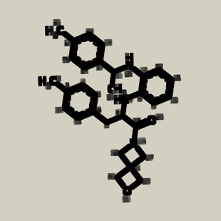 Cc1ccc(CC(Nc2ccccc2NC(C)c2ccc(C)cc2)C(=O)N2CC3(COC3)C2)cc1